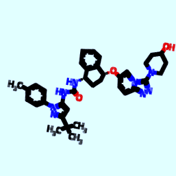 Cc1ccc(-n2nc(C(C)(C)C)cc2NC(=O)N[C@H]2CC[C@@H](Oc3ccc4nnc(N5CCC(O)CC5)n4c3)c3ccccc32)cc1